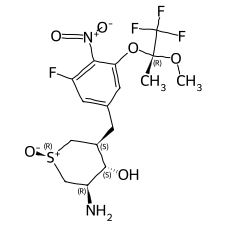 CO[C@](C)(Oc1cc(C[C@@H]2C[S@+]([O-])C[C@H](N)[C@H]2O)cc(F)c1[N+](=O)[O-])C(F)(F)F